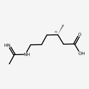 CC(=N)NCCC[C@H](C)CC(=O)O